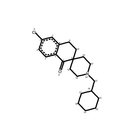 O=C1c2ccc(Cl)cc2CCC12CCN(CC1CCCCC1)CC2